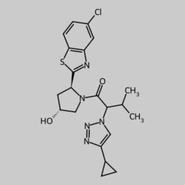 CC(C)C(C(=O)N1C[C@H](O)C[C@H]1c1nc2cc(Cl)ccc2s1)n1cc(C2CC2)nn1